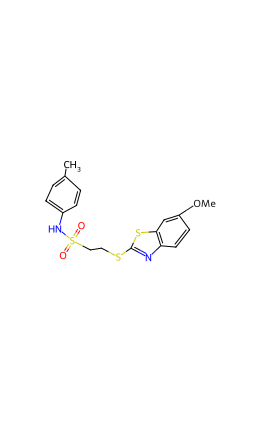 COc1ccc2nc(SCCS(=O)(=O)Nc3ccc(C)cc3)sc2c1